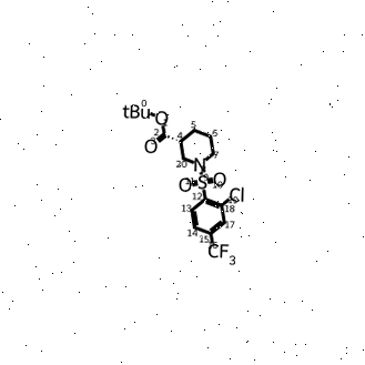 CC(C)(C)OC(=O)[C@@H]1CCCN(S(=O)(=O)c2ccc(C(F)(F)F)cc2Cl)C1